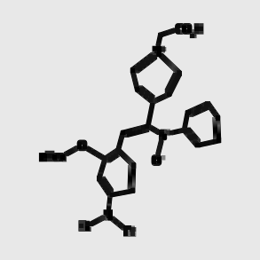 CCCCCCOc1cc(N(CC)CC)ccc1/C=C(/c1cc[n+](CC(=O)O)cc1)[S+]([O-])c1ccccc1